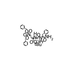 CC(C)C[C@H](N[C@H](CCN(C(=O)OCc1ccccc1)C(=O)OCc1ccccc1)C(=O)OC(C)(C)C)C(=O)N(C)[C@@H](Cc1ccccc1)C(N)=O